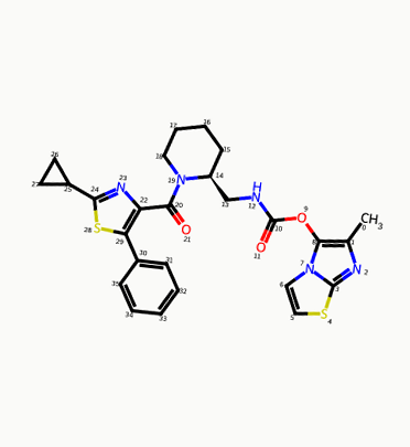 Cc1nc2sccn2c1OC(=O)NC[C@@H]1CCCCN1C(=O)c1nc(C2CC2)sc1-c1ccccc1